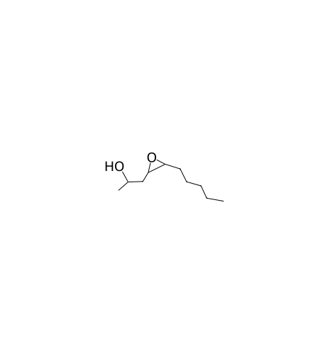 CCCCCC1OC1CC(C)O